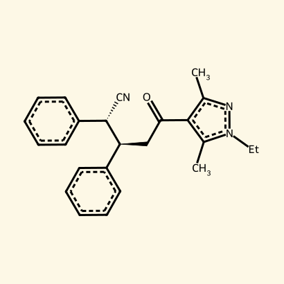 CCn1nc(C)c(C(=O)C[C@@H](c2ccccc2)[C@@H](C#N)c2ccccc2)c1C